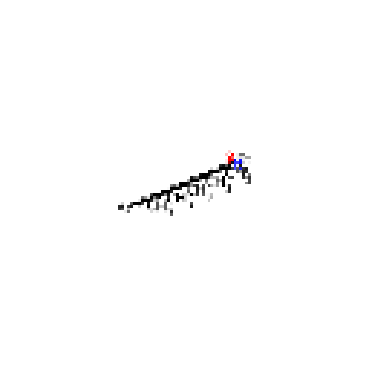 CCN(C(C)=O)C(=O)/C(C)=C/CC/C(C)=C/CC/C(C)=C/CC/C(C)=C/CC/C(C)=C/CCC(C)=O